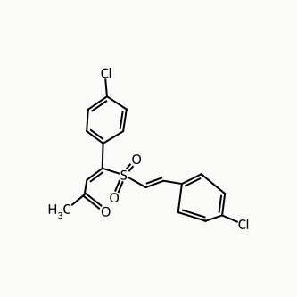 CC(=O)/C=C(/c1ccc(Cl)cc1)S(=O)(=O)C=Cc1ccc(Cl)cc1